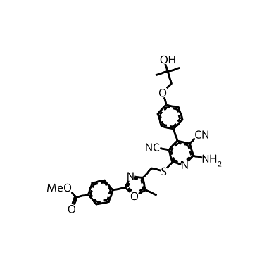 COC(=O)c1ccc(-c2nc(CSc3nc(N)c(C#N)c(-c4ccc(OCC(C)(C)O)cc4)c3C#N)c(C)o2)cc1